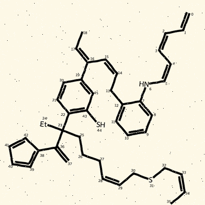 C=C/C=C\C=C/Nc1ccccc1C/C=C\C(=C/C)c1ccc(C(CC)(CCC/C=C\CSC/C=C\C)C(=C)C2=C=CC=C2)c(S)c1